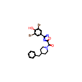 O=C(c1nc(-c2cc(Br)c(O)c(Br)c2)no1)N1CCC(Cc2ccccc2)CC1